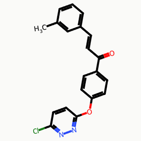 Cc1cccc(C=CC(=O)c2ccc(Oc3ccc(Cl)nn3)cc2)c1